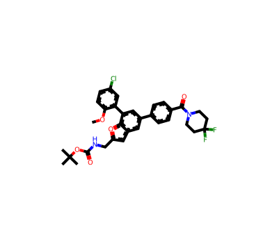 COc1ccc(Cl)cc1-c1cc(-c2ccc(C(=O)N3CCC(F)(F)CC3)cc2)cc2cc(CNC(=O)OC(C)(C)C)oc12